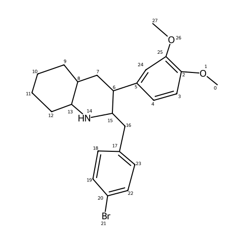 COc1ccc(C2CC3CCCCC3NC2Cc2ccc(Br)cc2)cc1OC